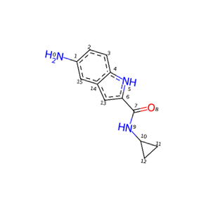 Nc1ccc2[nH]c(C(=O)NC3CC3)cc2c1